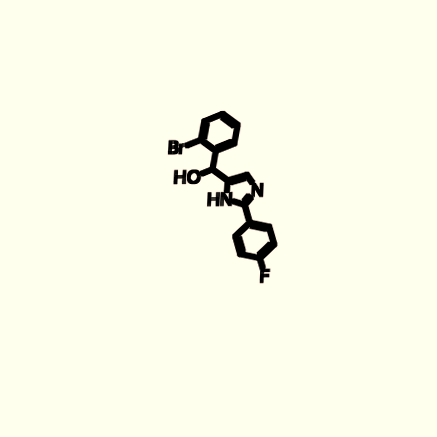 OC(c1cnc(-c2ccc(F)cc2)[nH]1)c1ccccc1Br